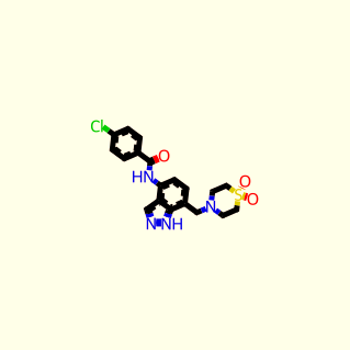 O=C(Nc1ccc(CN2CCS(=O)(=O)CC2)c2[nH]ncc12)c1ccc(Cl)cc1